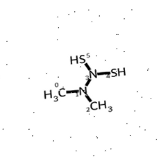 CN(C)N(S)S